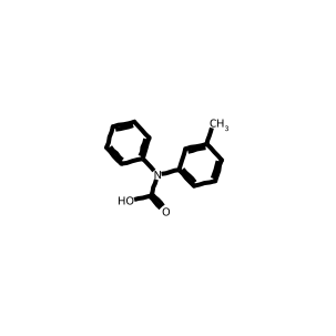 Cc1cccc(N(C(=O)O)c2ccccc2)c1